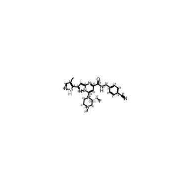 Cc1cn[nH]c1-c1cc2nc(C(=O)NCc3ccc(C#N)cc3)cc(N3CCN(C)C[C@H]3CF)n2n1